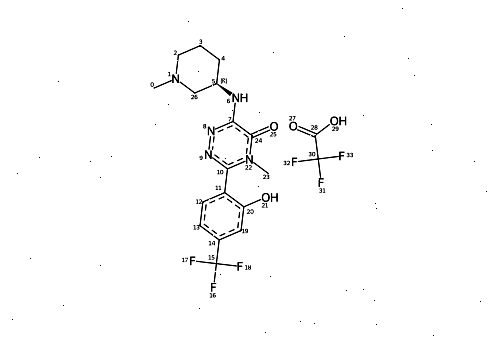 CN1CCC[C@@H](Nc2nnc(-c3ccc(C(F)(F)F)cc3O)n(C)c2=O)C1.O=C(O)C(F)(F)F